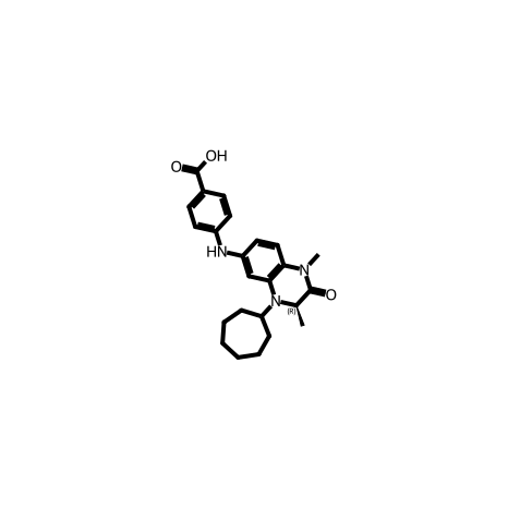 C[C@@H]1C(=O)N(C)c2ccc(Nc3ccc(C(=O)O)cc3)cc2N1C1CCCCCC1